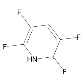 F[C]1NC(F)=C(F)C=C1F